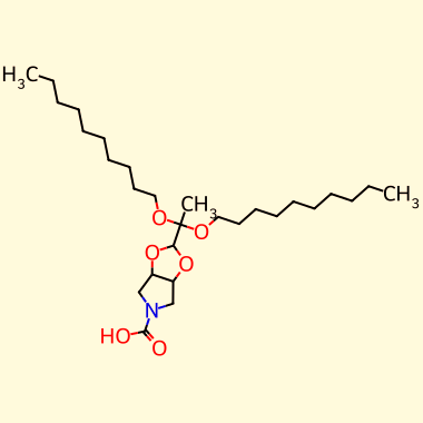 CCCCCCCCCCOC(C)(OCCCCCCCCCC)C1OC2CN(C(=O)O)CC2O1